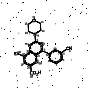 N#Cc1cccc(-c2nc(N3CCOCC3)nc3c(Cl)cc(C(=O)O)nc23)c1